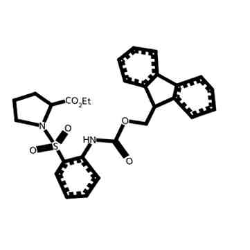 CCOC(=O)C1CCCN1S(=O)(=O)c1ccccc1NC(=O)OCC1c2ccccc2-c2ccccc21